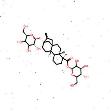 C=C1C[C@@]23CC[C@H]4[C@@](C)(CCC[C@@]4(C)C(=O)O[C@@H]4OC(CO)[C@@H](O)[C@H](O)C4O)[C@@H]2CC[C@]1(O[C@@H]1O[C@H](CO)C(O)C(O)[C@H]1O)C3